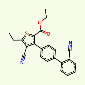 CCOC(=O)c1sc(CC)c(C#N)c1-c1ccc(-c2ccccc2C#N)cc1